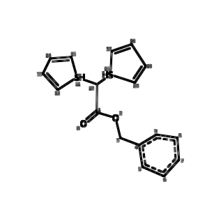 O=C(OCc1ccccc1)C([SH]1C=CC=C1)[SH]1C=CC=C1